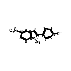 CCn1c(-c2ccc(Cl)cc2)cc2cc([N+](=O)[O-])ccc21